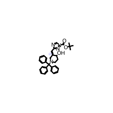 CC(C)(C)OC(=O)n1cnc(/C=C2/CN(C(c3ccccc3)(c3ccccc3)c3ccccc3)CCC2O)n1